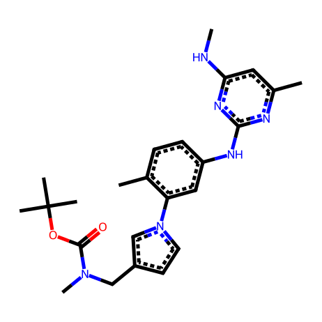 CNc1cc(C)nc(Nc2ccc(C)c(-n3ccc(CN(C)C(=O)OC(C)(C)C)c3)c2)n1